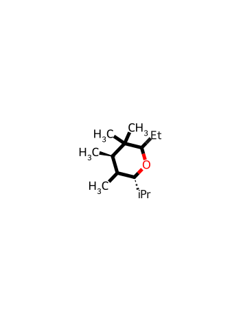 CCC1O[C@H](C(C)C)C(C)[C@@H](C)C1(C)C